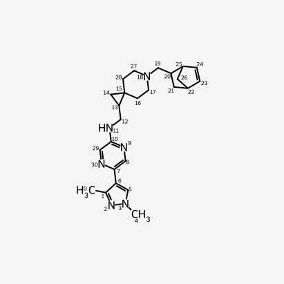 Cc1nn(C)cc1-c1cnc(NCC2CC23CCN(CC2CC4C=CC2C4)CC3)cn1